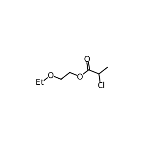 [CH2]COCCOC(=O)C(C)Cl